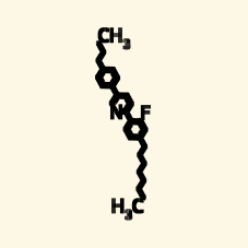 CCCCCCCCc1ccc(-c2ccc(-c3ccc(CCCC)cc3)cn2)c(F)c1